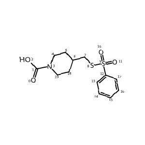 O=C(O)N1CCC(CSS(=O)(=O)c2ccccc2)CC1